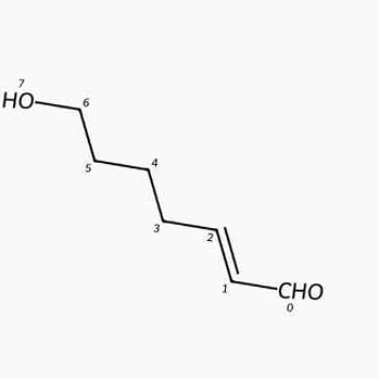 O=CC=CCCCCO